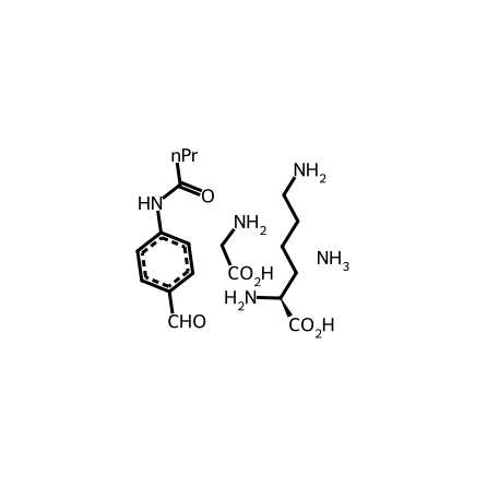 CCCC(=O)Nc1ccc(C=O)cc1.N.NCC(=O)O.NCCCC[C@H](N)C(=O)O